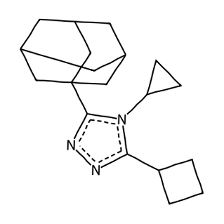 C1CC(c2nnc(C34CC5CC(CC(C5)C3)C4)n2C2CC2)C1